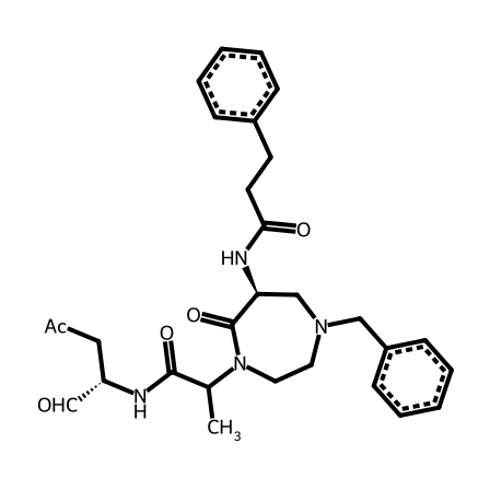 CC(=O)C[C@@H](C=O)NC(=O)C(C)N1CCN(Cc2ccccc2)C[C@H](NC(=O)CCc2ccccc2)C1=O